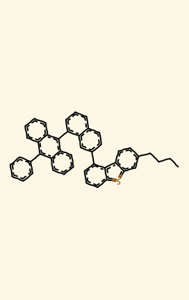 CCCCc1ccc2c(c1)sc1cccc(-c3ccc4cccc(-c5c6ccccc6c(-c6ccccc6)c6ccccc56)c4c3)c12